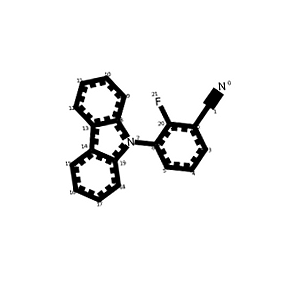 N#Cc1cccc(-n2c3ccccc3c3ccccc32)c1F